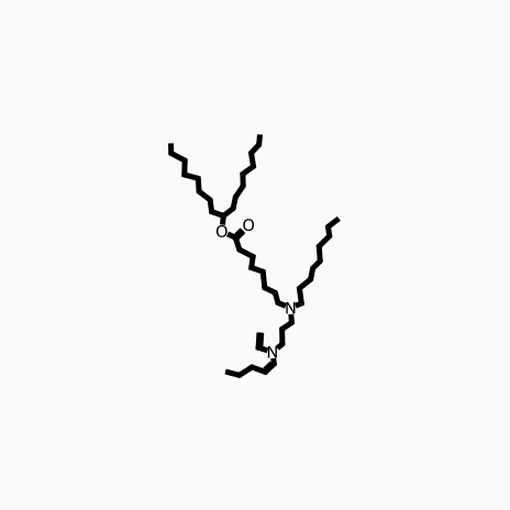 C=CN(/C=C\CCC)CCCN(CCCCCCCCC)CCCCCCCC(=O)OC(CCCCCCCC)CCCCCCCC